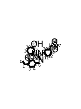 C=Cc1ccc2cnc(Nc3cccc(CS(C)(=O)=O)c3)nc2c1O[C@H]1CC[C@@H](O)CC1